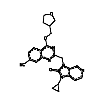 N#Cc1ccc2c(OCC3CCOC3)nc(Cn3c(=O)n(C4CC4)c4ccncc43)nc2c1